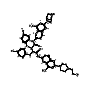 Cc1nc(N2CCN(CCO)CC2)nc2ccc(NC(=O)C(Oc3ccc(Br)cc3)C(Oc3ccc(Br)cc3)C(=O)Nc3ccc4nc(N5CC6CC5CN6)nc(C)c4n3)nc12